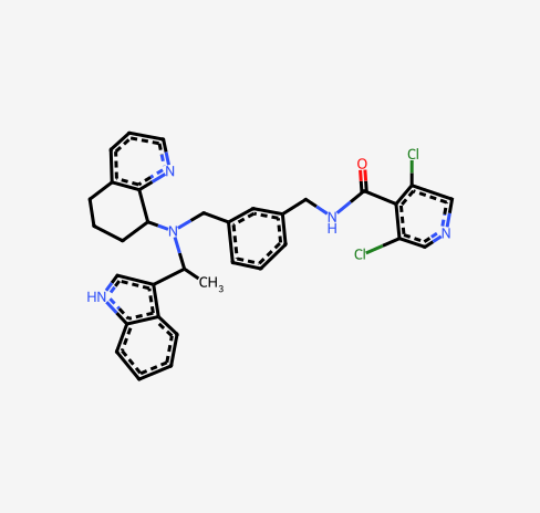 CC(c1c[nH]c2ccccc12)N(Cc1cccc(CNC(=O)c2c(Cl)cncc2Cl)c1)C1CCCc2cccnc21